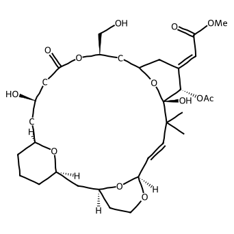 COC(=O)/C=C1\CC2C[C@H](CO)OC(=O)C[C@H](O)C[C@@H]3CCC[C@H](C[C@@H]4CCO[C@H](/C=C/C(C)(C)[C@](O)(O2)[C@H]1OC(C)=O)O4)O3